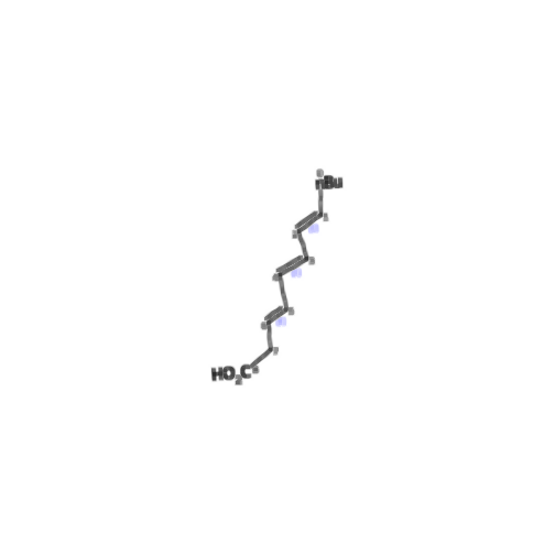 CCCC/C=C/C=C/C=C/CC(=O)O